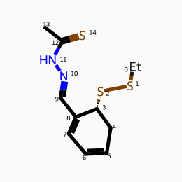 CCSS[C@@H]1CC=CC=C1/C=N/NC(C)=S